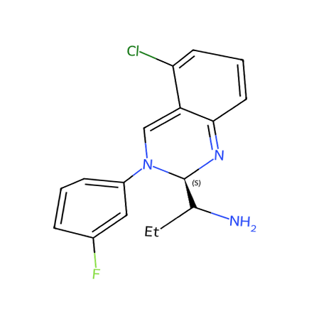 CCC(N)[C@@H]1N=c2cccc(Cl)c2=CN1c1cccc(F)c1